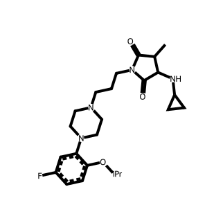 CC(C)Oc1ccc(F)cc1N1CCN(CCCN2C(=O)C(C)C(NC3CC3)C2=O)CC1